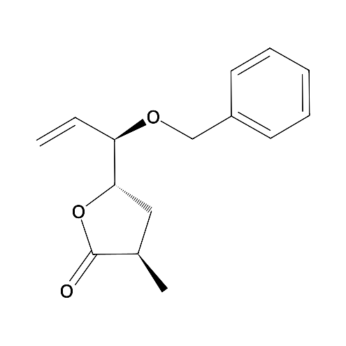 C=C[C@@H](OCc1ccccc1)[C@@H]1C[C@@H](C)C(=O)O1